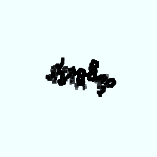 CCC(C)[C@H](NC(=O)OC)C(=O)N1CCC[C@@H]1c1ncc(-c2ccc(-c3ccc(-c4cnc([C@@H]5CCCN5C(=O)CC(C)C)[nH]4)c4c3CC3(CCCC3)C4)c3c2C2CC3C(F)C2F)[nH]1